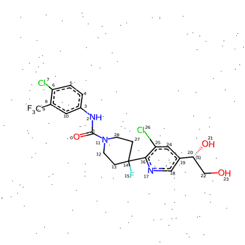 O=C(Nc1ccc(Cl)c(C(F)(F)F)c1)N1CCC(F)(c2ncc([C@H](O)CO)cc2Cl)CC1